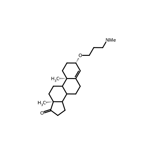 CNCCCO[C@@H]1C=C2CCC3C(CC[C@]4(C)C(=O)CCC34)[C@@]2(C)CC1